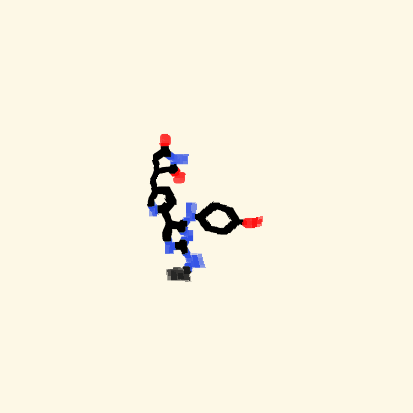 CCCCNc1ncc(-c2ccc(CC3CC(=O)NC3=O)cn2)c(NC2CCC(O)CC2)n1